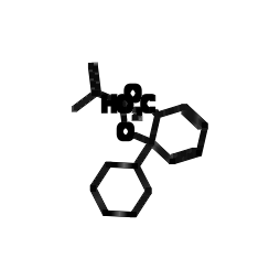 C=C(C)C(=O)OC1(C2CCCCC2)C=CC=CC1C(=O)O